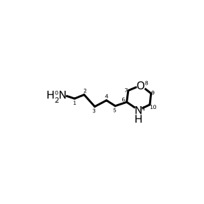 NCCCCCC1COCCN1